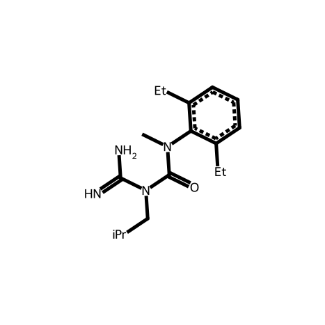 CCc1cccc(CC)c1N(C)C(=O)N(CC(C)C)C(=N)N